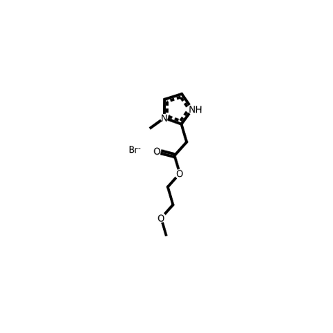 COCCOC(=O)Cc1[nH]cc[n+]1C.[Br-]